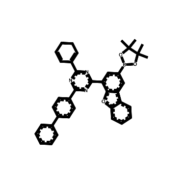 CC1(C)OB(c2cc(-c3nc(C4=CCCC=C4)nc(-c4ccc(-c5ccccc5)cc4)n3)c3oc4ccccc4c3c2)OC1(C)C